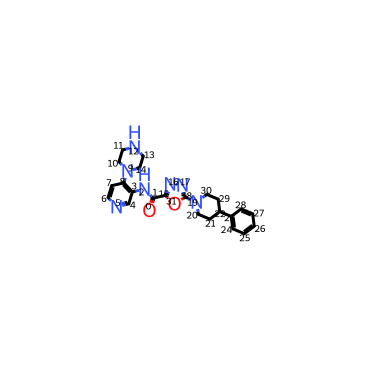 O=C(Nc1cnccc1N1CCNCC1)c1nnc(N2CCC(c3ccccc3)CC2)o1